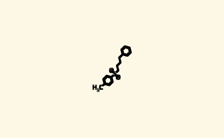 Cc1ccc(S(=O)(=O)CCCCc2ccccc2)cc1